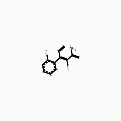 C=C/C(=C(/F)C(=C)N)c1ccccc1Cl